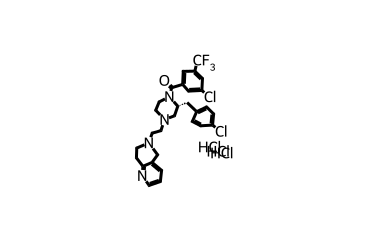 Cl.Cl.Cl.O=C(c1cc(Cl)cc(C(F)(F)F)c1)N1CCN(CCN2CCc3ncccc3C2)C[C@H]1Cc1ccc(Cl)cc1